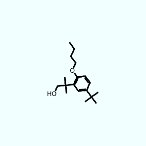 CCCCOc1ccc(C(C)(C)C)cc1C(C)(C)CO